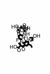 CCc1cc2c(=O)c(C(=O)O)cn(-c3nc(NC(=O)OC(C)([PH](=O)O)[PH](=O)O)c(F)cc3F)c2c(Cl)c1N1CC(O)C1